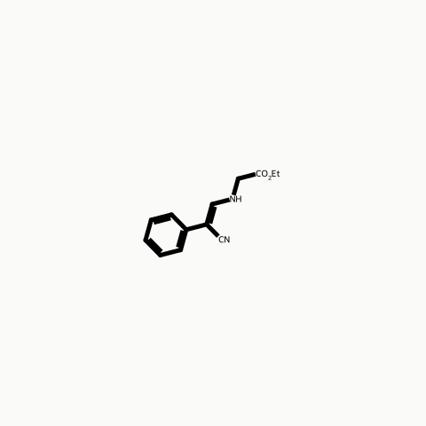 CCOC(=O)CNC=C(C#N)c1ccccc1